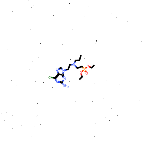 CCCN(CCn1cnc2c(Cl)nc(N)nc21)CCP(=O)(OCC)OCC